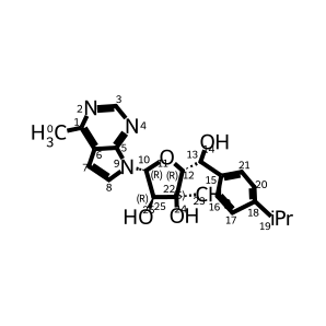 Cc1ncnc2c1ccn2[C@@H]1O[C@H](C(O)c2ccc(C(C)C)cc2)[C@@](C)(O)[C@H]1O